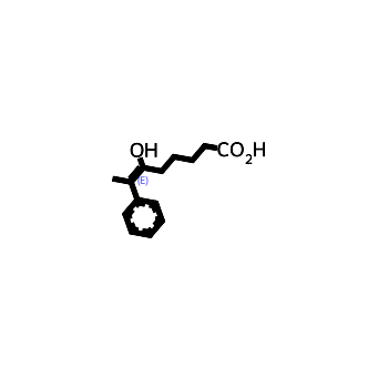 C/C(=C(\O)CCCCC(=O)O)c1ccccc1